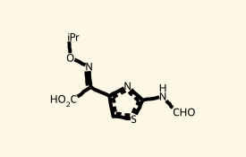 CC(C)O/N=C(\C(=O)O)c1csc(NC=O)n1